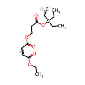 CCOC(=O)/C=C\C(=O)OCCC(=O)O[Si](CC)(CC)CC